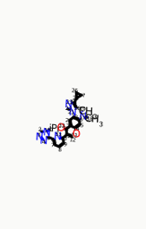 CC(C)n1cnnc1-c1cccc(-c2coc3cc(N(C)C)c(-n4cnc(C5CC5)c4)cc3c2=O)n1